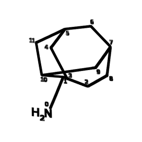 NC1C2CCC3CC(C2)CC1C3